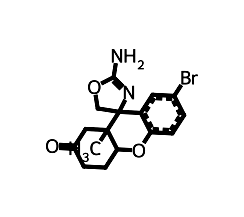 CC12CC(=O)CCC1Oc1ccc(Br)cc1C21COC(N)=N1